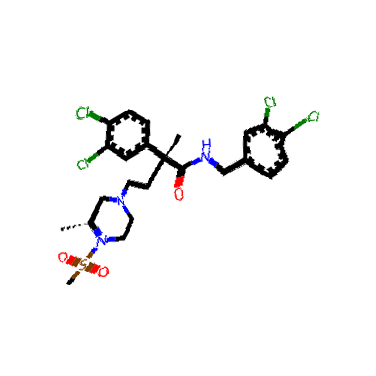 C[C@@H]1CN(CC[C@@](C)(C(=O)NCc2ccc(Cl)c(Cl)c2)c2ccc(Cl)c(Cl)c2)CCN1S(C)(=O)=O